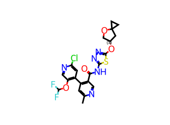 Cc1cc(-c2cc(Cl)ncc2OC(F)F)c(C(=O)Nc2nnc(O[C@@H]3COC4(CC4)C3)s2)cn1